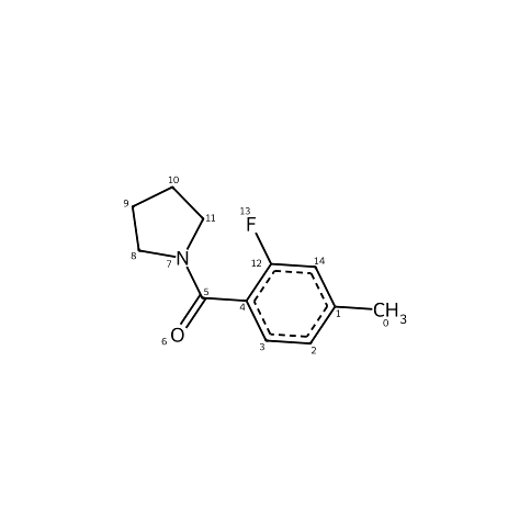 Cc1ccc(C(=O)N2CCCC2)c(F)c1